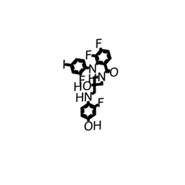 O=C(c1ccc(F)c(F)c1Nc1ccc(I)cc1F)N1CC(O)(CNc2ccc(O)cc2F)C1